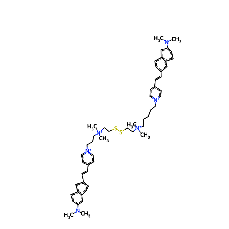 CN(C)c1ccc2cc(/C=C/c3cc[n+](CCCCC[N+](C)(C)CCSSCC[N+](C)(C)CCC[n+]4ccc(/C=C/c5ccc6cc(N(C)C)ccc6c5)cc4)cc3)ccc2c1